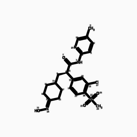 Cc1ccc(NC(=O)[C@H](CC2CCC(=NO)CC2)c2ccc(S(C)(=O)=O)c(Cl)c2)nc1